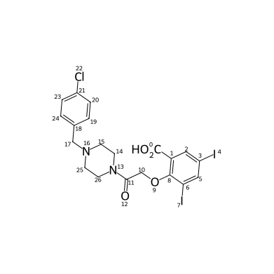 O=C(O)c1cc(I)cc(I)c1OCC(=O)N1CCN(Cc2ccc(Cl)cc2)CC1